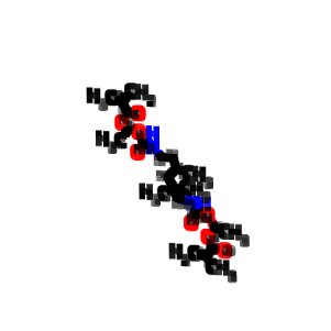 C=C(C)C(=O)OC(C)OC(=O)NCCC(C)CC(C)(C)CNC(=O)OC(C)OC(=O)C(=C)C